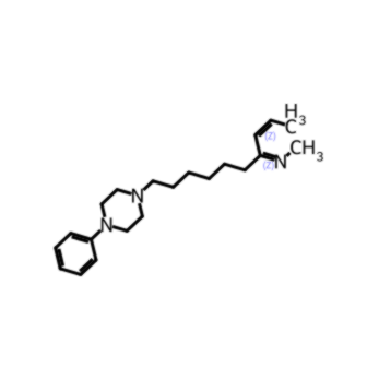 C/C=C\C(CCCCCCN1CCN(c2ccccc2)CC1)=N/C